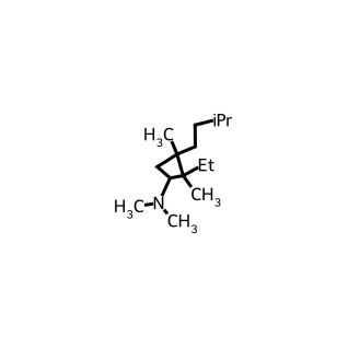 CCC1(C)C(N(C)C)CC1(C)CCC(C)C